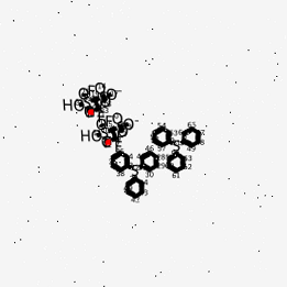 O=S(=O)([O-])C(F)(C(F)(F)F)S(=O)(=O)O.O=S(=O)([O-])C(F)(C(F)(F)F)S(=O)(=O)O.c1ccc([S+](c2ccccc2)c2ccccc2)cc1.c1ccc([S+](c2ccccc2)c2ccccc2)cc1